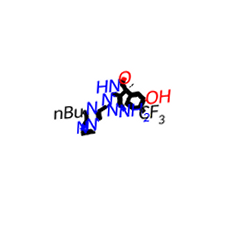 CCCCc1nc(-c2nc(N)c3c(n2)NC(=O)[C@@]3(C)c2ccc(C(F)(F)F)c(O)c2)cn2ccnc12